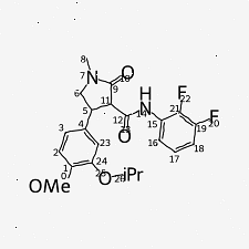 COc1ccc(C2CN(C)C(=O)C2C(=O)Nc2cccc(F)c2F)cc1OC(C)C